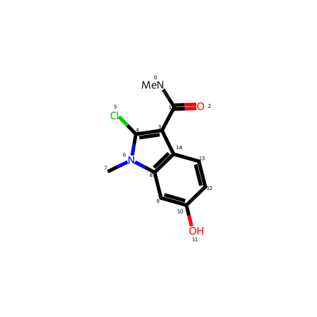 CNC(=O)c1c(Cl)n(C)c2cc(O)ccc12